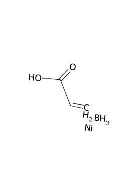 B.C=CC(=O)O.[Ni]